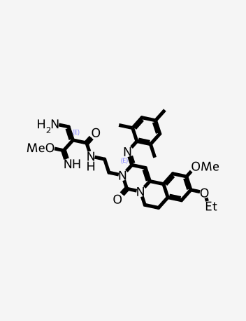 CCOc1cc2c(cc1OC)-c1c/c(=N\c3c(C)cc(C)cc3C)n(CCNC(=O)/C(=C/N)C(=N)OC)c(=O)n1CC2